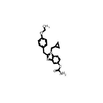 CCOc1ccc(Cc2nc3cc(OC(N)=O)ccc3n2CC2CC2)cc1